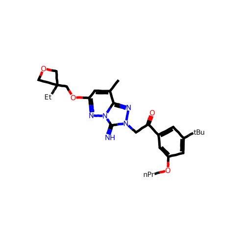 CCCOc1cc(C(=O)Cn2nc3c(C)cc(OCC4(CC)COC4)nn3c2=N)cc(C(C)(C)C)c1